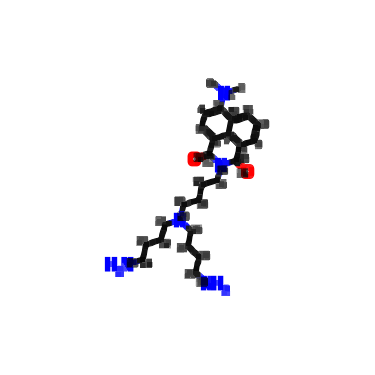 CN(C)c1ccc2c3c(cccc13)C(=O)N(CCCCN(CCCCN)CCCCN)C2=O